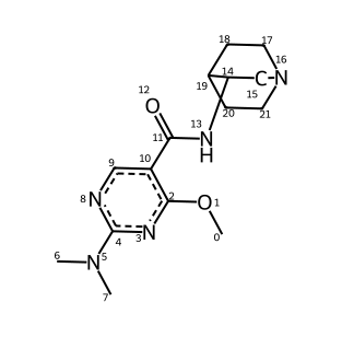 COc1nc(N(C)C)ncc1C(=O)NC1CN2CCC1CC2